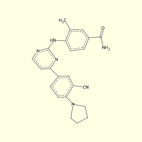 Cc1cc(C(N)=O)ccc1Nc1nccc(-c2ccc(N3CCCC3)c(C#N)c2)n1